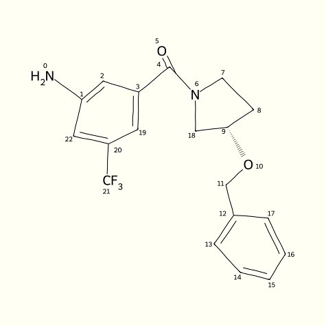 Nc1cc(C(=O)N2CC[C@H](OCc3ccccc3)C2)cc(C(F)(F)F)c1